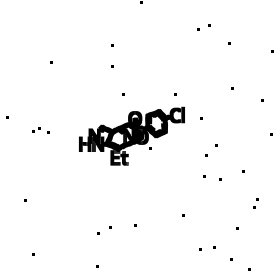 CCC1=C2NN=CC2C2CCCC1N2S(=O)(=O)c1ccc(Cl)cc1